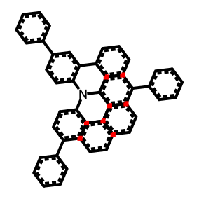 c1ccc(-c2ccc(N(c3ccc(-c4ccccc4)cc3-c3ccccc3)c3ccc(-c4ccccc4)cc3-c3ccccc3)c(-c3ccccc3)c2)cc1